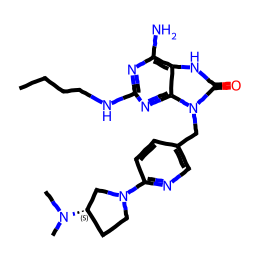 CCCCNc1nc(N)c2[nH]c(=O)n(Cc3ccc(N4CC[C@H](N(C)C)C4)nc3)c2n1